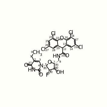 CCc1cn([C@@H]2O[C@H](CNC(=O)C3c4cc(Cl)cc(Cl)c4Oc4c(Cl)cc(Cl)cc43)[C@@H](O)[C@@H]2F)c(=O)[nH]c1=O